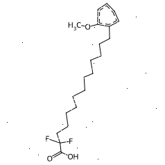 COc1ccccc1CCCCCCCCCCCCC(F)(F)C(=O)O